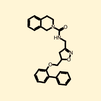 O=C(NCC1=NOC(COc2ccccc2-c2ccccc2)C1)N1CCc2ccccc2C1